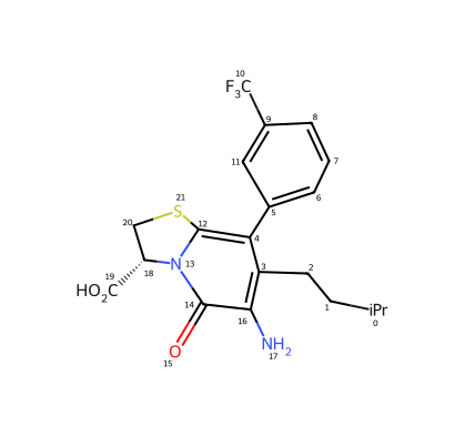 CC(C)CCc1c(-c2cccc(C(F)(F)F)c2)c2n(c(=O)c1N)[C@H](C(=O)O)CS2